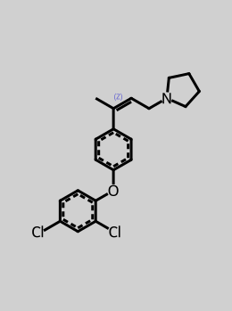 C/C(=C/CN1CCCC1)c1ccc(Oc2ccc(Cl)cc2Cl)cc1